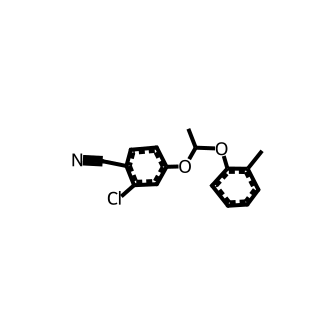 Cc1ccccc1OC(C)Oc1ccc(C#N)c(Cl)c1